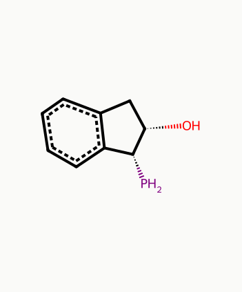 O[C@H]1Cc2ccccc2[C@H]1P